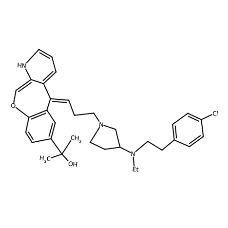 CCN(CCc1ccc(Cl)cc1)C1CCN(CCC=C2C3=CC=CNC3=COc3ccc(C(C)(C)O)cc32)C1